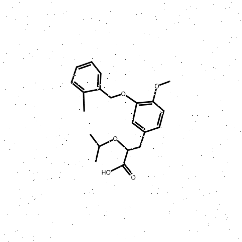 COc1ccc(CC(OC(C)C)C(=O)O)cc1OCc1ccccc1C